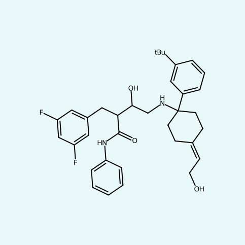 CC(C)(C)c1cccc(C2(NCC(O)C(Cc3cc(F)cc(F)c3)C(=O)Nc3ccccc3)CCC(=CCO)CC2)c1